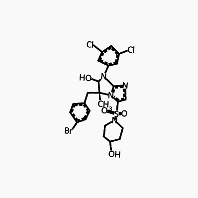 C[C@@]1(Cc2ccc(Br)cc2)C(O)N(c2cc(Cl)cc(Cl)c2)c2ncc(S(=O)(=O)N3CCC(O)CC3)n21